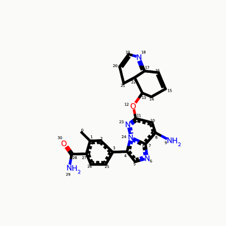 Cc1cc(-c2cnc3c(N)cc(OC4CC=CC5=NC=CCC54)nn23)ccc1C(N)=O